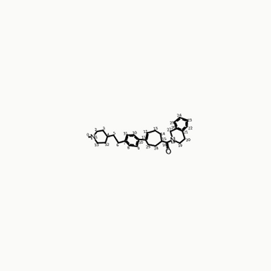 CN1CCC(CCc2ccc(C3=CCCC(C(=O)N4CCc5ccccc5C4)CC3)cc2)CC1